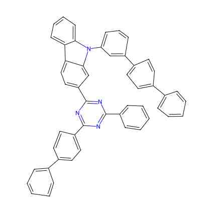 c1ccc(-c2ccc(-c3cccc(-n4c5ccccc5c5ccc(-c6nc(-c7ccccc7)nc(-c7ccc(-c8ccccc8)cc7)n6)cc54)c3)cc2)cc1